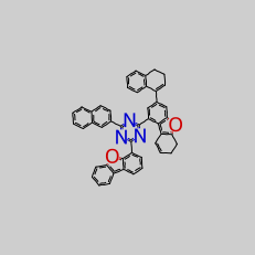 C1=Cc2c(oc3cc(C4=CCCc5ccccc54)cc(-c4nc(-c5ccc6ccccc6c5)nc(-c5cccc6c5oc5ccccc56)n4)c23)CC1